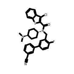 CN(C)[C@H]1CC[C@H](N(Cc2cc(-c3cccc(C#N)c3)ccc2F)C(=O)c2sc3ccccc3c2Cl)CC1